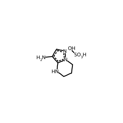 Nc1cnn2c1NCCC2.O=S(=O)(O)O